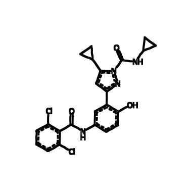 O=C(Nc1ccc(O)c(-c2cc(C3CC3)n(C(=O)NC3CC3)n2)c1)c1c(Cl)cccc1Cl